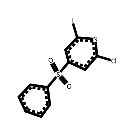 O=S(=O)(c1ccccc1)c1cc(Cl)nc(I)c1